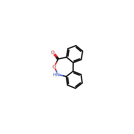 O=C1ONc2ccccc2-c2ccccc21